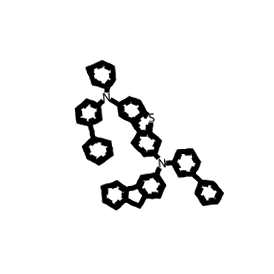 c1ccc(-c2cccc(N(c3ccc4c(c3)-c3ccccc3C4)c3ccc4c(c3)sc3ccc(N(c5ccccc5)c5cccc(-c6ccccc6)c5)cc34)c2)cc1